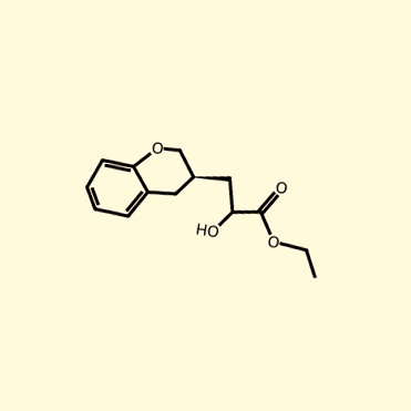 CCOC(=O)C(O)C[C@@H]1COc2ccccc2C1